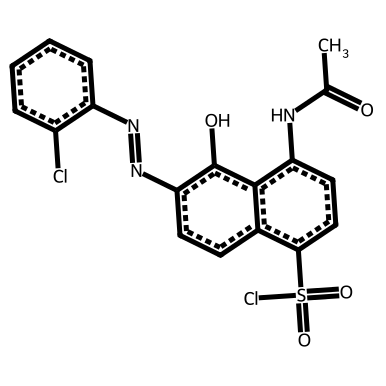 CC(=O)Nc1ccc(S(=O)(=O)Cl)c2ccc(N=Nc3ccccc3Cl)c(O)c12